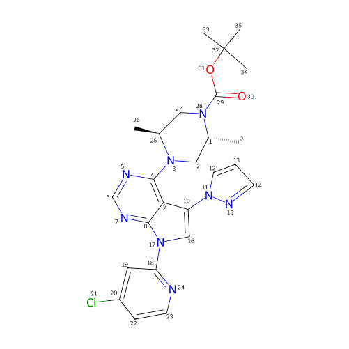 C[C@@H]1CN(c2ncnc3c2c(-n2cccn2)cn3-c2cc(Cl)ccn2)[C@@H](C)CN1C(=O)OC(C)(C)C